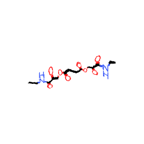 CCNC(=O)C(=O)COC(=O)/C=C/C(=O)OCC(=O)C(=O)NCC